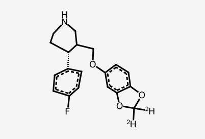 [2H]C1([2H])Oc2ccc(OCC3CNCC[C@H]3c3ccc(F)cc3)cc2O1